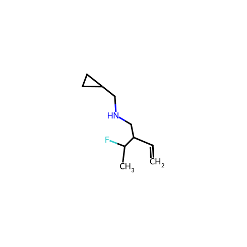 C=CC(CNCC1CC1)C(C)F